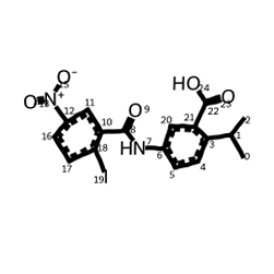 CC(C)c1ccc(NC(=O)c2cc([N+](=O)[O-])ccc2I)cc1C(=O)O